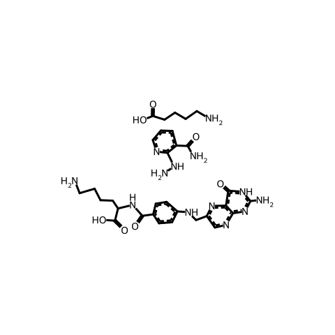 NCCCCC(=O)O.NCCCCC(NC(=O)c1ccc(NCc2cnc3nc(N)[nH]c(=O)c3n2)cc1)C(=O)O.NNc1ncccc1C(N)=O